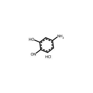 Cl.Nc1ccc(N=O)c(O)c1